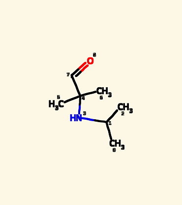 CC(C)NC(C)(C)[C]=O